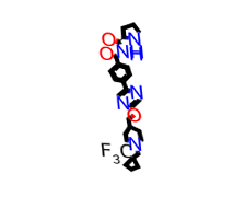 O=C(NC(=O)[C@@H]1CCCN1)c1ccc(-c2cnc(OCC3CCN(CC4(C(F)(F)F)CCC4)CC3)cn2)cc1